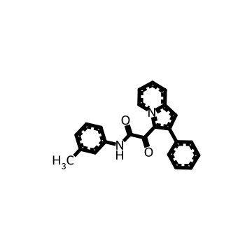 Cc1cccc(NC(=O)C(=O)c2c(-c3ccccc3)cc3ccccn23)c1